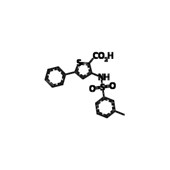 Cc1cccc(S(=O)(=O)Nc2cc(-c3ccccc3)sc2C(=O)O)c1